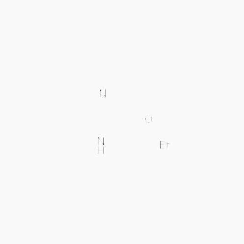 [CH2]COc1ncc[nH]1